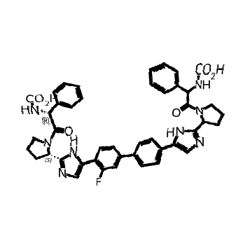 O=C(O)NC(C(=O)N1CCCC1c1ncc(-c2ccc(-c3ccc(-c4cnc([C@@H]5CCCN5C(=O)[C@H](NC(=O)O)c5ccccc5)[nH]4)c(F)c3)cc2)[nH]1)c1ccccc1